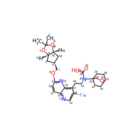 CC1(C)O[C@H]2C[C@H](COc3ccc4ncc(F)c(CCN(C(=O)O)C56CCC(CC5)OC6)c4n3)C[C@H]2O1